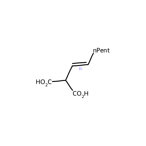 CCCCC/C=C/C(C(=O)O)C(=O)O